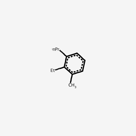 CC[C]c1cccc(C)c1CC